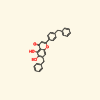 O=c1cc(-c2ccc(Cc3ccccc3)cc2)oc2cc(Cc3ccccc3)c(O)c(O)c12